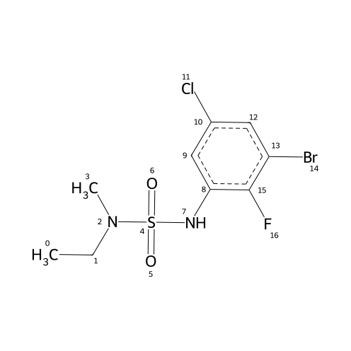 CCN(C)S(=O)(=O)Nc1cc(Cl)cc(Br)c1F